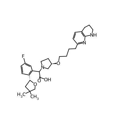 CC1(C)CO[C@@H](c2ccc(F)cc2C(C(=O)O)N2CC[C@@H](OCCCCc3ccc4c(n3)NCCC4)C2)C1